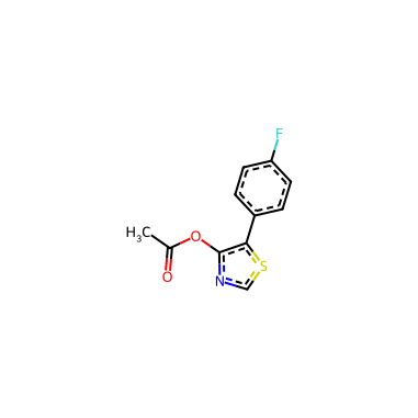 CC(=O)Oc1ncsc1-c1ccc(F)cc1